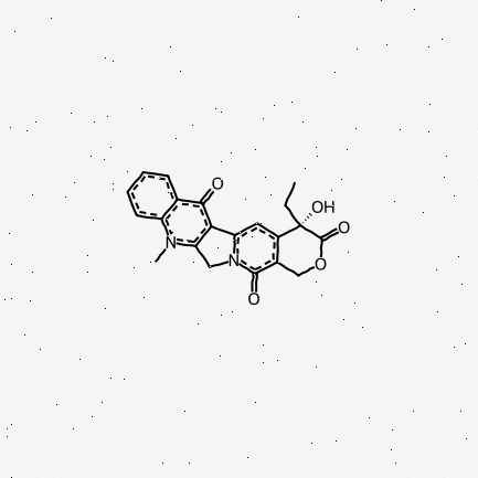 CC[C@@]1(O)C(=O)OCc2c1cc1n(c2=O)Cc2c-1c(=O)c1ccccc1n2C